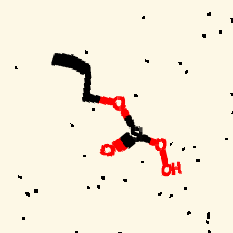 C=CCO[Si](=O)OO